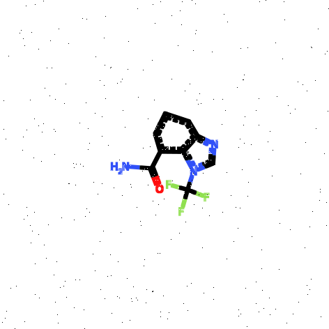 NC(=O)c1cccc2ncn(C(F)(F)F)c12